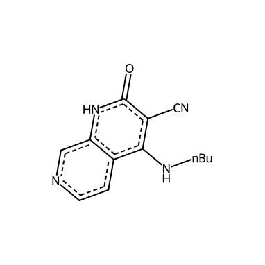 CCCCNc1c(C#N)c(=O)[nH]c2cnccc12